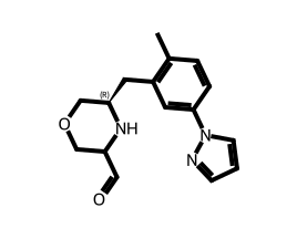 Cc1ccc(-n2cccn2)cc1C[C@@H]1COCC(C=O)N1